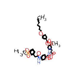 CCCCCCCOc1ccc(C(=O)Oc2ccc(CC(NC(=O)c3ccc(NC(=O)Cc4cccc(S(C)(=O)=O)c4)cc3)C(=O)O)cc2OC)cc1